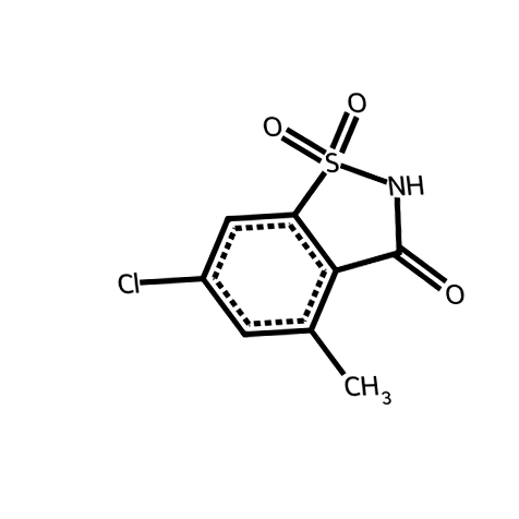 Cc1cc(Cl)cc2c1C(=O)NS2(=O)=O